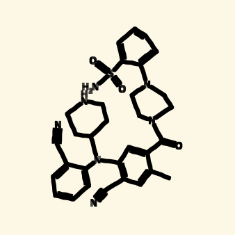 Cc1cc(C#N)c(N(c2ccccc2C#N)C2CCNCC2)cc1C(=O)N1CCN(c2ccccc2S(N)(=O)=O)CC1